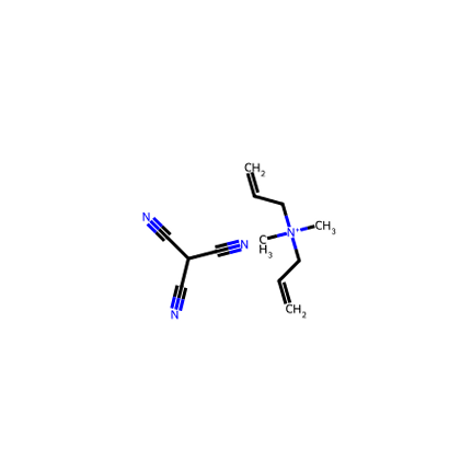 C=CC[N+](C)(C)CC=C.N#CC(C#N)C#N